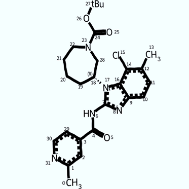 Cc1cc(C(=O)Nc2nc3ccc(C)c(Cl)c3n2[C@@H]2CCCCN(C(=O)OC(C)(C)C)C2)ccn1